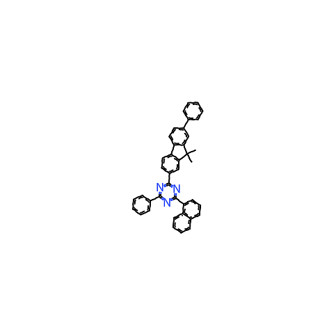 CC1(C)c2cc(-c3ccccc3)ccc2-c2ccc(-c3nc(-c4ccccc4)nc(-c4cccc5ccccc45)n3)cc21